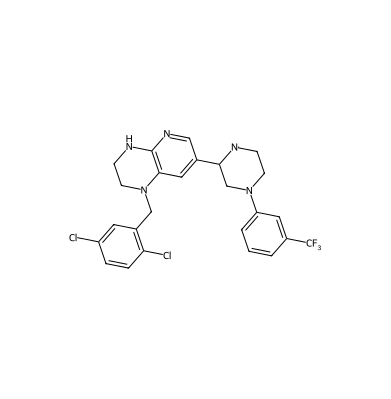 FC(F)(F)c1cccc(N2CC[N]C(c3cnc4c(c3)N(Cc3cc(Cl)ccc3Cl)CCN4)C2)c1